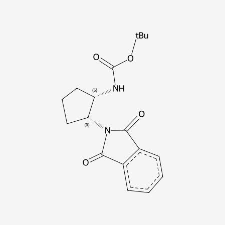 CC(C)(C)OC(=O)N[C@H]1CCC[C@H]1N1C(=O)c2ccccc2C1=O